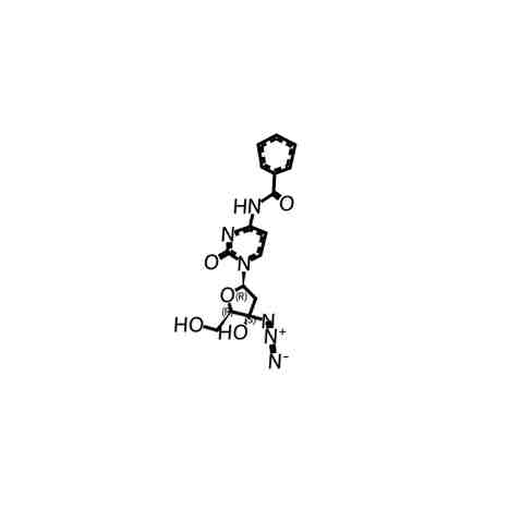 [N-]=[N+]=N[C@]1(O)C[C@H](n2ccc(NC(=O)c3ccccc3)nc2=O)O[C@@H]1CO